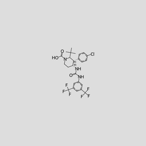 CC(C)(C)C1[C@H](c2ccc(Cl)cc2)[C@H](NC(=O)Nc2cc(C(F)(F)F)cc(C(F)(F)F)c2)CCN1C(=O)O